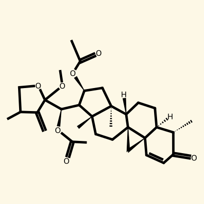 C=C1C(C)COC1(OC)[C@H](OC(C)=O)C1[C@@H](OC(C)=O)C[C@@]2(C)[C@@H]3CC[C@H]4[C@H](C)C(=O)C=C[C@@]45C[C@@]35CC[C@]12C